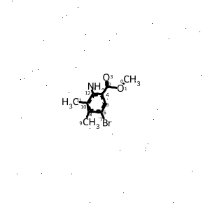 COC(=O)c1cc(Br)c(C)c(C)c1N